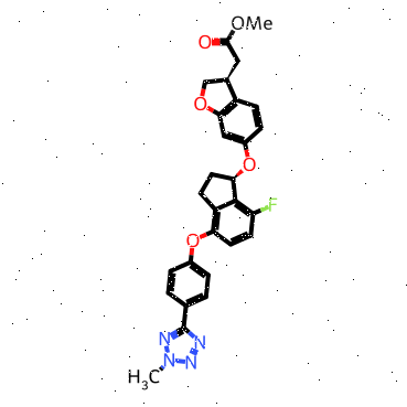 COC(=O)C[C@@H]1COc2cc(O[C@@H]3CCc4c(Oc5ccc(-c6nnn(C)n6)cc5)ccc(F)c43)ccc21